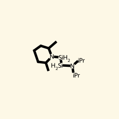 CC(C)N([SiH2][SiH2]N1C(C)CCCC1C)C(C)C